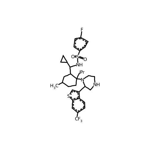 CC1CCC(C(C)C)(N2CCNCC2c2csc3cc(C(F)(F)F)ccc23)C(C(NS(=O)(=O)c2ccc(F)cc2)C2CC2)C1